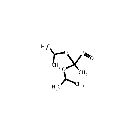 CC(C)OC(C)(OC(C)C)P=O